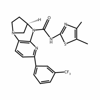 Cc1nc(NC(=O)N2c3nc(-c4cccc(C(F)(F)F)c4)ccc3N3CC[C@@H]2C3)sc1C